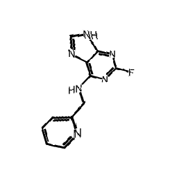 Fc1nc(NCc2ccccn2)c2nc[nH]c2n1